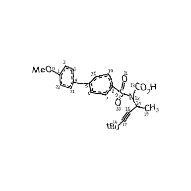 COc1ccc(-c2ccc(S(=O)(=O)N(C(=O)O)C(C)C#CC(C)(C)C)cc2)cc1